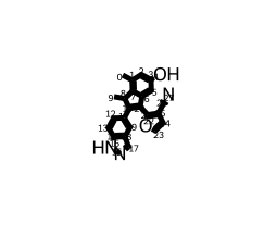 Cc1cc(O)cc2c1C(C)C(c1ccc3[nH]ncc3c1)=C2c1occc1C#N